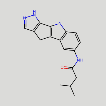 CC(C)CC(=O)Nc1ccc2[nH]c3c(c2c1)Cc1cn[nH]c1-3